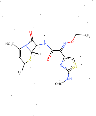 CC1C=C(C(=O)O)N2C(=O)C(NC(=O)C(=NOCC(F)(F)F)c3csc(NC=O)n3)[C@@H]2S1